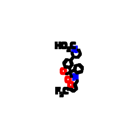 O=C(O)N1CCCC(c2ccc3c(c2)C2(CO3)C(=O)N(Cc3ccc(C(F)(F)F)o3)c3ccccc32)C1